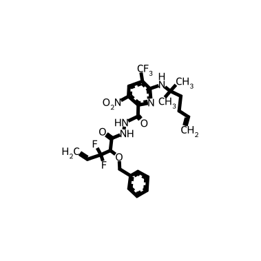 C=CCCC(C)(C)Nc1nc(C(=O)NNC(=O)C(OCc2ccccc2)C(F)(F)C=C)c([N+](=O)[O-])cc1C(F)(F)F